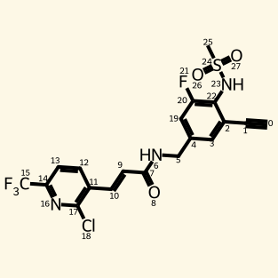 C#Cc1cc(CNC(=O)/C=C/c2ccc(C(F)(F)F)nc2Cl)cc(F)c1NS(C)(=O)=O